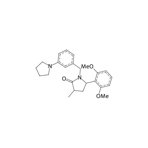 COc1cccc(OC)c1C1CC(C)C(=O)N1Cc1cccc(N2CCCC2)c1